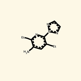 CCc1cc(N)c(CC)nc1-n1nccn1